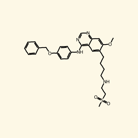 COc1cc2ncnc(Nc3ccc(OCc4ccccc4)cc3)c2cc1CCCCNCCS(C)(=O)=O